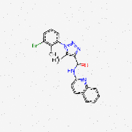 Cc1c(Br)cccc1-n1nnc(C(=O)Nc2ccc3ccccc3n2)c1C